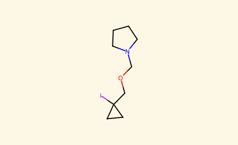 IC1(COCN2CCCC2)CC1